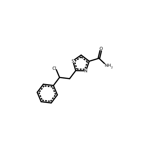 NC(=O)c1csc(CC(Cl)c2ccccc2)n1